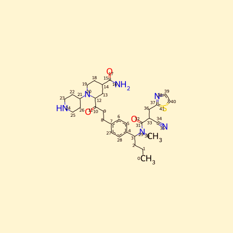 CCCC(c1ccc(CCC(=O)C2CC(C(N)=O)CCN2C2CCNCC2)cc1)N(C)C(=O)C(C#N)Cc1nccs1